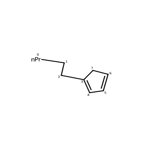 CCCCCC1=CC=CC1